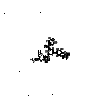 CC(C)Cc1noc(C2CC(c3ccc(OC(F)(F)F)cc3)CN(C(=O)N3CCOCC3)C2)n1